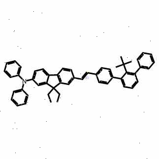 CCC1(CC)c2cc(/C=C/c3ccc(-c4cccc(-c5ccccc5)c4C(C)(C)C)cc3)ccc2-c2ccc(N(c3ccccc3)c3ccccc3)cc21